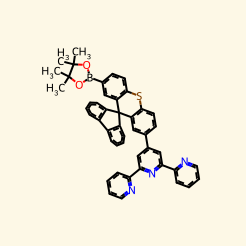 CC1(C)OB(c2ccc3c(c2)C2(c4cc(-c5cc(-c6ccccn6)nc(-c6ccccn6)c5)ccc4S3)c3ccccc3-c3ccccc32)OC1(C)C